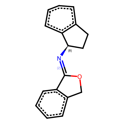 c1ccc2c(c1)CO/C2=N\[C@@H]1CCc2ccccc21